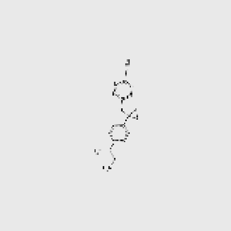 CC(CN)c1ccc(C2(Oc3ccc(C#N)nn3)CC2)cc1